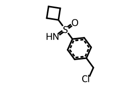 N=S(=O)(c1ccc(CCl)cc1)C1CCC1